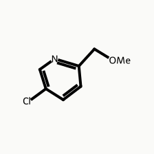 [CH2-][OH+]Cc1ccc(Cl)cn1